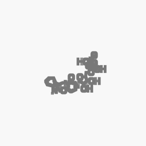 Cn1nc(Cn2c(=O)ccn(C3OC(COP(=O)(O)O[PH](=O)O)C(O)[C@@H]3O)c2=O)c2ccccc21